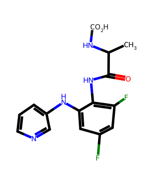 CC(NC(=O)O)C(=O)Nc1c(F)cc(F)cc1Nc1cccnc1